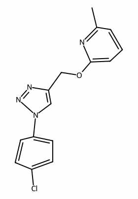 Cc1cccc(OCc2cn(-c3ccc(Cl)cc3)nn2)n1